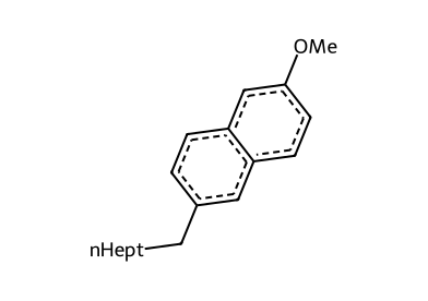 CCCCCCCCc1ccc2cc(OC)ccc2c1